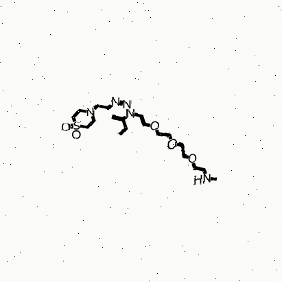 C=C(CC)N(CCOCCOCCOCCNC)/N=N\CCN1CCS(=O)(=O)CC1